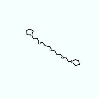 C(COCCCOCCN1CCCC1)COCCN1CCCC1